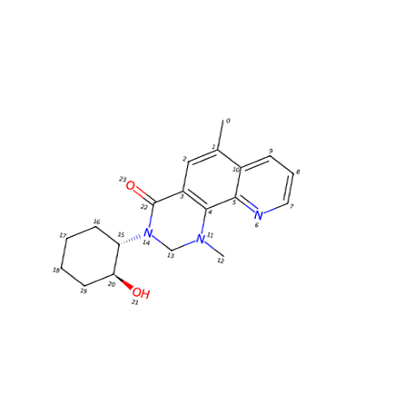 Cc1cc2c(c3ncccc13)N(C)CN([C@H]1CCCC[C@@H]1O)C2=O